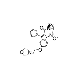 CC(C)NC(=O)C1=C(c2ccccc2)c2cc(OCCN3CCOCC3)ccc2/C1=[N+](/C)[O-]